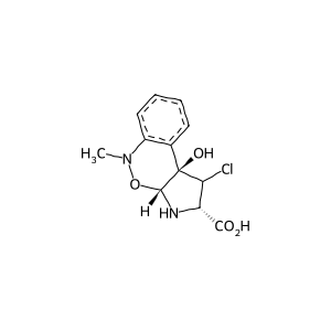 CN1O[C@H]2N[C@@H](C(=O)O)C(Cl)[C@@]2(O)c2ccccc21